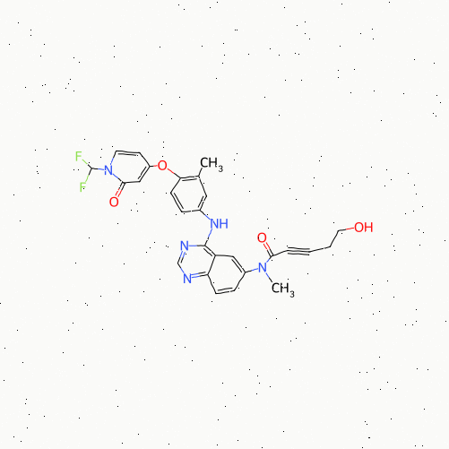 Cc1cc(Nc2ncnc3ccc(N(C)C(=O)C#CCCO)cc23)ccc1Oc1ccn(C(F)F)c(=O)c1